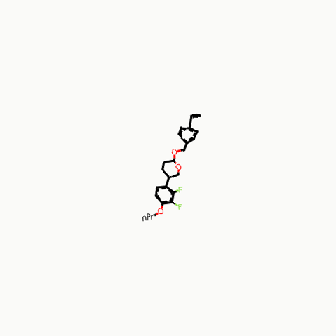 C=Cc1ccc(COC2CCC(c3ccc(OCCC)c(F)c3F)CO2)cc1